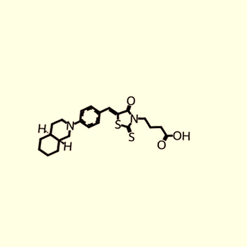 O=C(O)CCCN1C(=O)C(=Cc2ccc(N3CC[C@@H]4CCCC[C@H]4C3)cc2)SC1=S